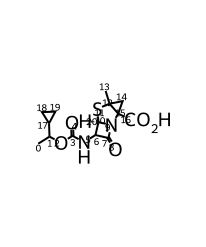 CC(OC(=O)NC1C(=O)N2[C@@H]1SC1(C)CC21C(=O)O)C1CC1